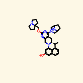 CC(C)c1cccc2cc(O)cc(N3CCc4c(nc(OCC56CCCN5CCC6)nc4N4CC5CCC(C4)N5)C3)c12